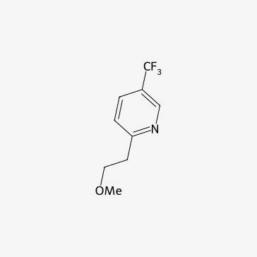 COCCc1ccc(C(F)(F)F)cn1